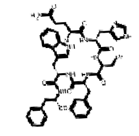 CC(C)C[C@H](NC(=O)[C@H](Cc1c[nH]cn1)NC(=O)[C@@H](N)CCC(N)=O)C(=O)N[C@@H](Cc1ccccc1)C(=O)N[C@@H](Cc1c[nH]c2ccccc12)C(=O)N[C@@H](Cc1ccccc1)C(=O)O